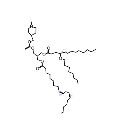 C=C(OCC1CCN(C)CC1)OCC(COC(=O)CCCCCCC/C=C\C/C=C\CCCCC)COC(=O)CCC(OCCCCCCCC)OCCCCCCCC